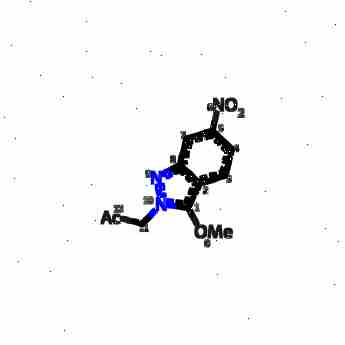 COc1c2ccc([N+](=O)[O-])cc2nn1CC(C)=O